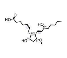 CCCCC[C@H](O)/C=C/[C@@H]1[C@@H](C/C=C\CCCC(=O)O)[C@@H](O)C[C@H]1OC